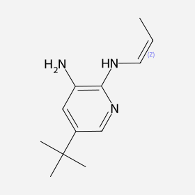 C/C=C\Nc1ncc(C(C)(C)C)cc1N